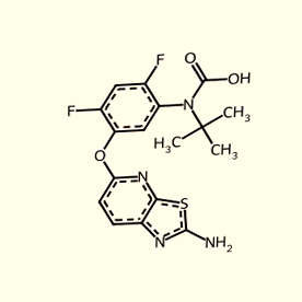 CC(C)(C)N(C(=O)O)c1cc(Oc2ccc3nc(N)sc3n2)c(F)cc1F